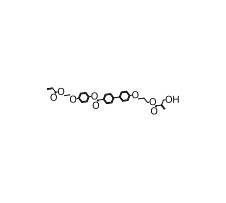 C=CC(=O)OCCOc1ccc(OC(=O)c2ccc(-c3ccc(OCCCOC(=O)C(=C)CO)cc3)cc2)cc1